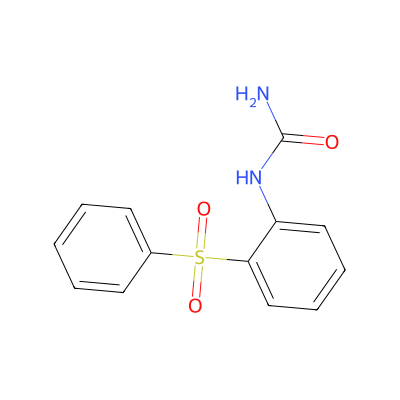 NC(=O)Nc1ccccc1S(=O)(=O)c1ccccc1